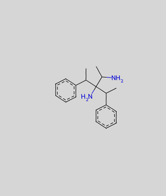 CC(N)C(N)(C(C)c1ccccc1)C(C)c1ccccc1